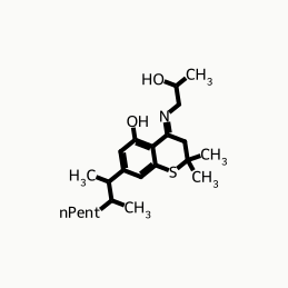 CCCCCC(C)C(C)c1cc(O)c2c(c1)SC(C)(C)CC2=NCC(C)O